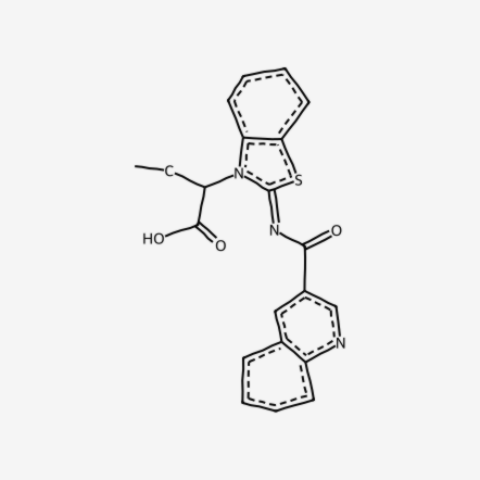 CCC(C(=O)O)n1c(=NC(=O)c2cnc3ccccc3c2)sc2ccccc21